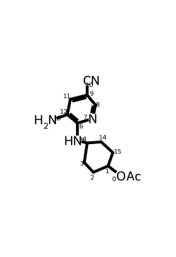 CC(=O)OC1CCC(Nc2ncc(C#N)cc2N)CC1